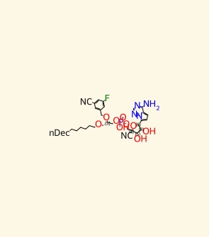 CCCCCCCCCCCCCCCCOC[C@@H](COP(=O)(O)OC[C@@]1(C#N)O[C@@H](c2ccc3c(N)ncnn23)[C@H](O)[C@@H]1O)OCc1cc(F)cc(C#N)c1